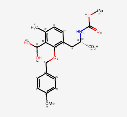 COc1ccc(COc2c(C[C@H](NC(=O)OC(C)(C)C)C(=O)O)ccc(C)c2B(O)O)cc1